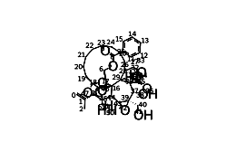 C=C(C)[C@]12C[C@@H](COC(=O)c3ccccc3)[C@]34O[C@@]5(CCCCCCC[C@H](C)[C@@H]6[C@@H]3[C@]3(O[C@]6(C)OC3=O)[C@H](O)[C@@]3(CO)O[C@H]3[C@H]4[C@H]1O5)O2